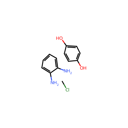 CCl.Nc1ccccc1N.Oc1ccc(O)cc1